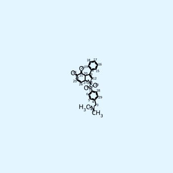 CN(C)Cc1ccc(S(=O)(=O)N2C=C(c3ccccc3)C3C(=O)C(=O)C=CC32)cc1